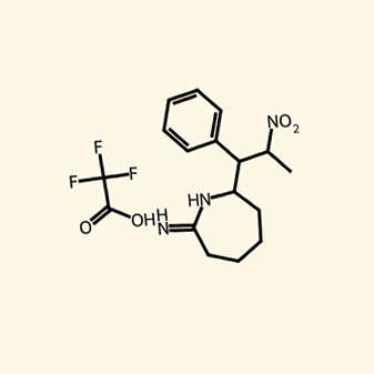 CC(C(c1ccccc1)C1CCCCC(=N)N1)[N+](=O)[O-].O=C(O)C(F)(F)F